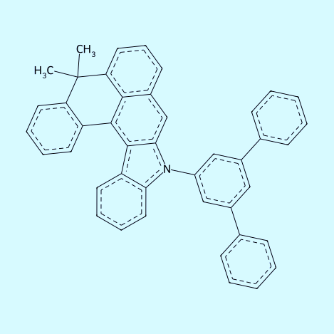 CC1(C)c2ccccc2-c2c3c1cccc3cc1c2c2ccccc2n1-c1cc(-c2ccccc2)cc(-c2ccccc2)c1